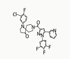 O=C(c1cc(-c2cccnc2)n(-c2cc(F)c(F)c(F)c2)n1)N1CCC2(CC1)C(=O)CCN2c1ccc(F)c(Cl)c1